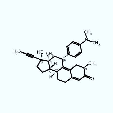 CC#C[C@]1(O)CC[C@H]2[C@@H]3CCC4=CC(=O)[C@H](C)CC4=C3[C@@H](c3ccc(N(C)C)cc3)C[C@@]21C